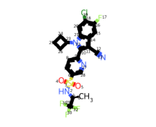 C[C@H](NS(=O)(=O)c1ccc(-c2c(C#N)c3cc(F)c(Cl)cc3n2C2CCC2)nc1)C(F)(F)F